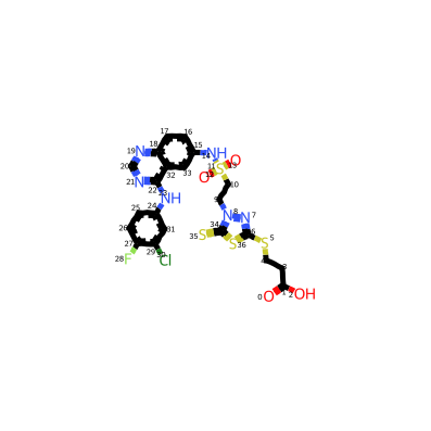 O=C(O)CCSc1nn(CCS(=O)(=O)Nc2ccc3ncnc(Nc4ccc(F)c(Cl)c4)c3c2)c(=S)s1